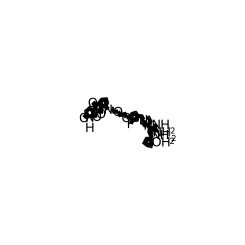 NC(N)=C(/C=C(\N)c1ccccc1O)N1CCN(Cc2ccc(OCCOCCNc3cccc4c3C(=O)N(C3CCC(=O)NC3=O)C4=O)c(F)c2)CC1